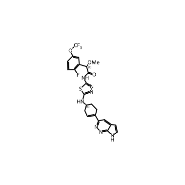 CO[C@@H](C(=O)Nc1nnc(N[C@@H]2CC=C(c3cc4cc[nH]c4nn3)CC2)s1)c1cc(OC(F)(F)F)ccc1F